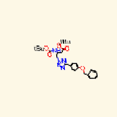 CC(C)(C)OC(=O)CC(Cn1nnc(-c2ccc(OCc3ccccc3)cc2)n1)NC(=O)OC(C)(C)C